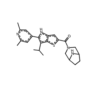 Cc1cc(-c2[nH]c3cc(C(=O)N4CC5CCC(C4)N5)sc3c2C(C)C)cc(C)n1